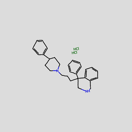 Cl.Cl.c1ccc(C2CCN(CCCC3(c4ccccc4)CNCc4ccccc43)CC2)cc1